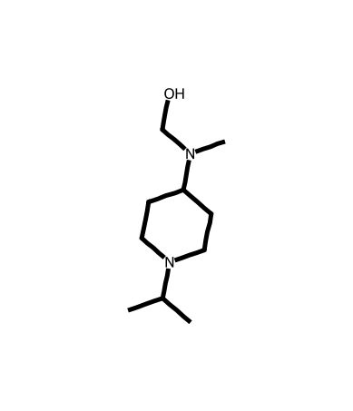 CC(C)N1CCC(N(C)CO)CC1